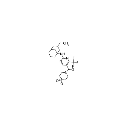 CCC1CC2CCCC(Nc3ncc(C(=O)N4CCS(=O)(=O)CC4)c(C(F)(F)F)n3)(C1)C2